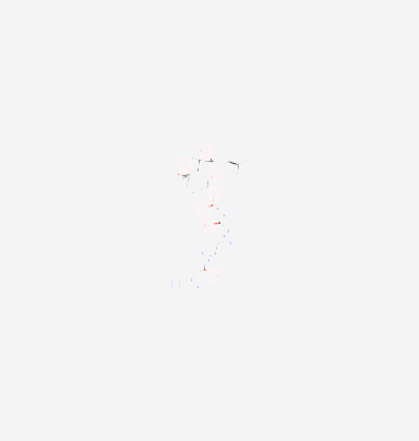 COC1C(OC(=O)NC(=O)CN(C)CCNC(=O)CN)CC[C@]2(CO2)C1C1(C)O[C@@H]1CC=C(C)C